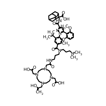 C=C(O)CN1CCN(CC(=O)O)CCN(CC(=O)NCCCN(CCCN(C)C)C(=O)c2ccc(-n3nc(C(=O)NC4(C(=O)O)C5CC6CC(C5)CC4C6)cc3-c3c(OC)cccc3OC)c(C(C)C)c2)CCN(CC(=O)O)CC1